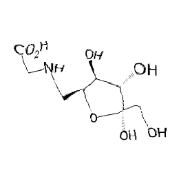 O=C(O)CNC[C@@H]1O[C@](O)(CO)[C@@H](O)[C@@H]1O